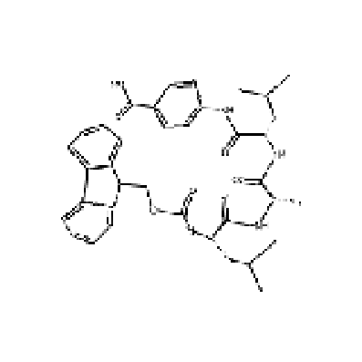 CC(C)C[C@H](NC(=O)OCC1c2ccccc2-c2ccccc21)C(=O)N[C@@H](C)C(=O)N[C@@H](CC(C)C)C(=O)Nc1ccc(C(=O)O)cc1